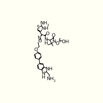 CC1(C)C(NC(=O)/C(=N\OCCOc2ccc(-c3ccc4c(c3)NC(CN)N4)cc2)C2=CSC(N)N2)C(=O)N1OSO